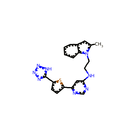 Cc1cc2ccccc2n1CCNc1cc(-c2ccc(-c3nnn[nH]3)s2)ncn1